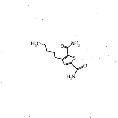 CCCCCc1cc(C(N)=O)sc1C(N)=O